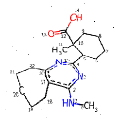 CNc1nc(C2CCCCC2(C)C(=O)O)nc2c1CCCCC2